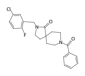 O=C(c1ccccc1)N1CCC2(CC1)CCN(Cc1cc(Cl)ccc1F)C2=O